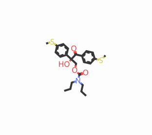 CCCN(CCC)C(=O)OCC(O)(C(=O)c1ccc(SC)cc1)c1ccc(SC)cc1